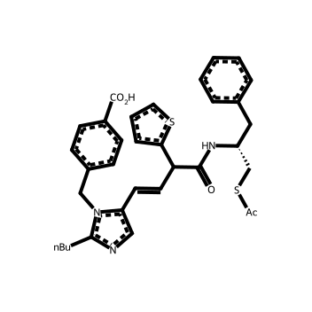 CCCCc1ncc(C=CC(C(=O)N[C@@H](CSC(C)=O)Cc2ccccc2)c2cccs2)n1Cc1ccc(C(=O)O)cc1